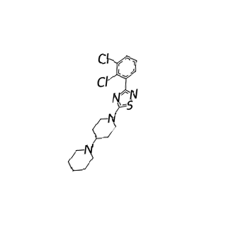 Clc1cccc(-c2nsc(N3CCC(N4CCCCC4)CC3)n2)c1Cl